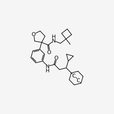 CC1(CNC(=O)C2(c3cccc(NC(=O)CC(C4CC4)C45CCC(CC4)CC5)c3)CCOC2)CCC1